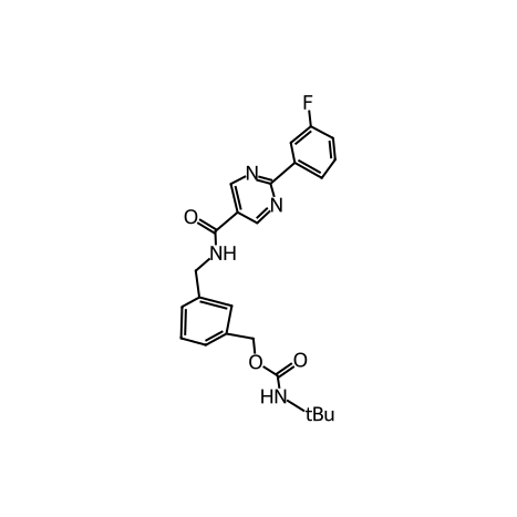 CC(C)(C)NC(=O)OCc1cccc(CNC(=O)c2cnc(-c3cccc(F)c3)nc2)c1